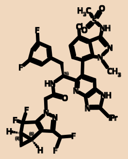 CC(C)c1nc2nc([C@H](Cc3cc(F)cc(F)c3)NC(=O)Cn3nc(C(F)F)c4c3C(F)(F)[C@@H]3C[C@H]43)c(-c3ccc(Cl)c4c(NS(C)(=O)=O)nn(C)c34)cc2[nH]1